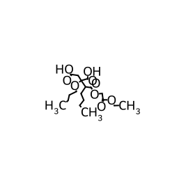 CCCCOC(CC(=O)O)(C(=O)O)C(CCCC)C(=O)OCC(=O)OCC